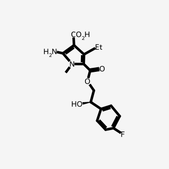 CCc1c(C(=O)O)c(N)n(C)c1C(=O)OC[C@H](O)c1ccc(F)cc1